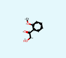 CCOc1ccccc1C(=O)CO